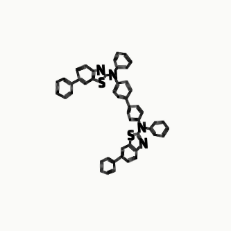 c1ccc(-c2ccc3nc(N(c4ccccc4)c4ccc(-c5ccc(N(c6ccccc6)c6nc7ccc(-c8ccccc8)cc7s6)cc5)cc4)sc3c2)cc1